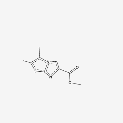 COC(=O)c1cn2c(C)c(C)sc2n1